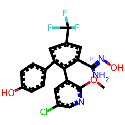 COc1ncc(Cl)cc1-c1c(/C(N)=N/O)cc(C(F)(F)F)cc1-c1ccc(O)cc1